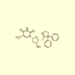 Cc1cn([C@H]2CC(O)[C@@H](CC3=NCC[N+]3(c3ccccc3)c3ccccc3)O2)c(=O)[nH]c1=O